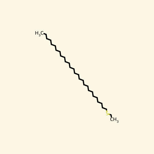 CCCCCCCCCCCCCCCCCCCCCCCCCCCCSCC